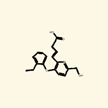 CCc1ccccc1Oc1ccc(CO)nc1C=CCC(=O)O